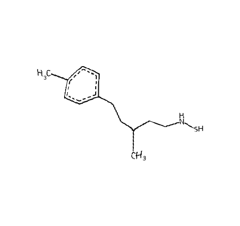 Cc1ccc(CCC(C)CCNS)cc1